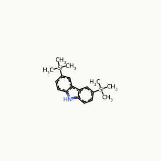 C[Si](C)(C)c1ccc2[nH]c3ccc([Si](C)(C)C)cc3c2c1